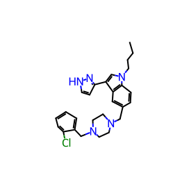 CCCCn1cc(-c2cc[nH]n2)c2cc(CN3CCN(Cc4ccccc4Cl)CC3)ccc21